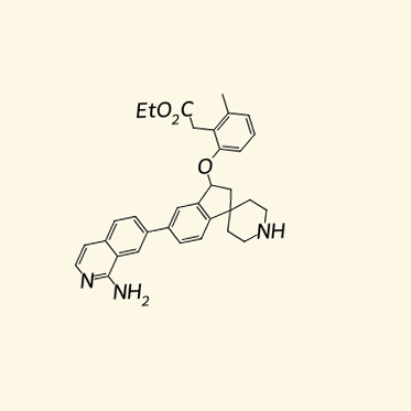 CCOC(=O)Cc1c(C)cccc1OC1CC2(CCNCC2)c2ccc(-c3ccc4ccnc(N)c4c3)cc21